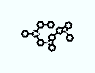 c1ccc(-c2cccc(-c3nc(-c4ccccc4)nc(-c4cccc(-n5c6ccccc6c6cc(-c7ccc8c9ccccc9n(-c9ccccc9)c8c7)ccc65)c4)n3)c2)cc1